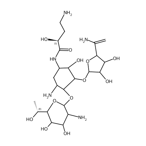 C=C(N)C1OC(OC2C(O)C(NC(=O)[C@@H](O)CCN)CC(N)C2OC2OC([C@@H](C)O)C(O)C(O)C2N)C(O)C1O